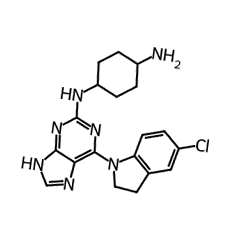 NC1CCC(Nc2nc(N3CCc4cc(Cl)ccc43)c3nc[nH]c3n2)CC1